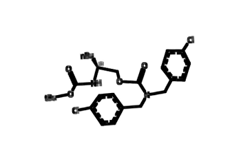 CCCC[C@@H](COC(=O)N(Cc1ccc(Cl)cc1)Cc1ccc(Cl)cc1)NC(=O)OC(C)(C)C